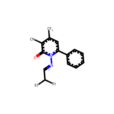 [C-]#[N+]c1c(C(F)(F)F)cc(-c2ccccc2)n(/N=C/C(CC)CC)c1=O